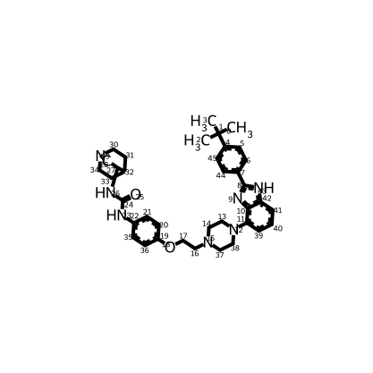 CC(C)(C)c1ccc(-c2nc3c(N4CCN(CCOc5ccc(NC(=O)NC6CN7CCC6CC7)cc5)CC4)cccc3[nH]2)cc1